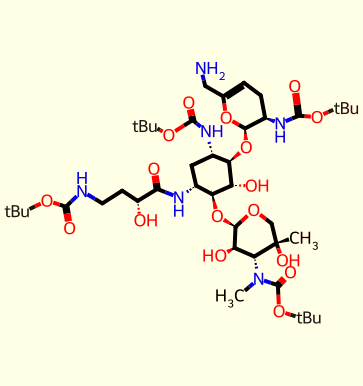 CN(C(=O)OC(C)(C)C)[C@@H]1[C@@H](O)[C@@H](O[C@@H]2[C@@H](O)[C@H](O[C@H]3OC(CN)=CC[C@H]3NC(=O)OC(C)(C)C)[C@@H](NC(=O)OC(C)(C)C)C[C@H]2NC(=O)[C@H](O)CCNC(=O)OC(C)(C)C)OC[C@]1(C)O